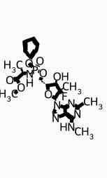 CNc1nc(C)nc2c1ncn2[C@@H]1O[C@H](CO[P@@](=O)(N[C@H](C)C(=O)OC)Oc2ccccc2)[C@@H](O)[C@@]1(C)F